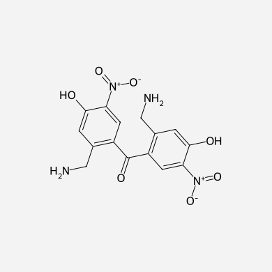 NCc1cc(O)c([N+](=O)[O-])cc1C(=O)c1cc([N+](=O)[O-])c(O)cc1CN